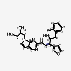 CC(CO)Cn1ccc2cnc(N/C=C(\C(=N)Cc3ccccc3F)c3ccon3)nc21